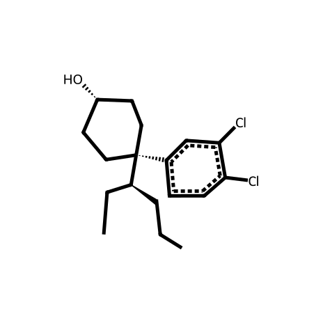 CCC[C@@H](CC)[C@]1(c2ccc(Cl)c(Cl)c2)CC[C@@H](O)CC1